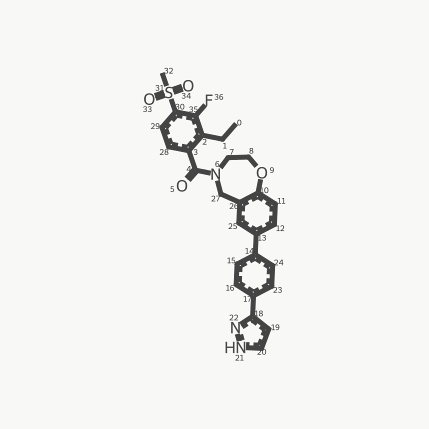 CCc1c(C(=O)N2CCOc3ccc(-c4ccc(-c5cc[nH]n5)cc4)cc3C2)ccc(S(C)(=O)=O)c1F